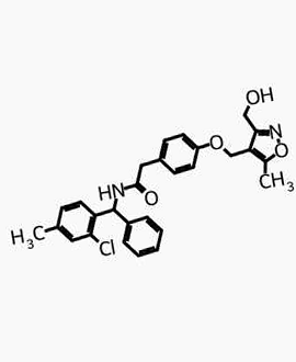 Cc1ccc(C(NC(=O)Cc2ccc(OCc3c(CO)noc3C)cc2)c2ccccc2)c(Cl)c1